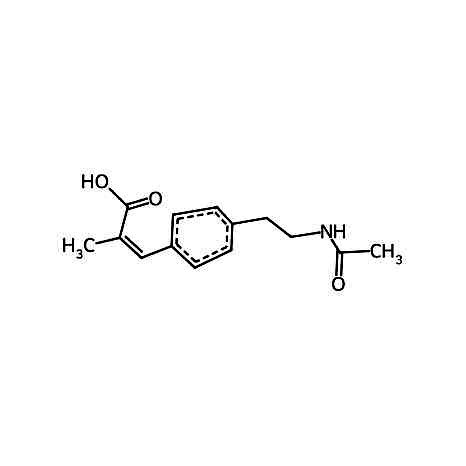 CC(=O)NCCc1ccc(C=C(C)C(=O)O)cc1